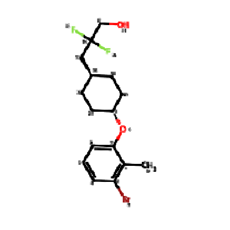 Cc1c(Br)cccc1O[C@H]1CC[C@H](CC(F)(F)CO)CC1